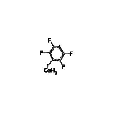 Fc1[c]c(F)c(F)c(F)c1F.[GaH3]